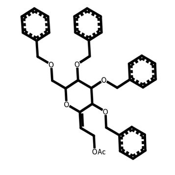 CC(=O)OC/C=C1/OC(COCc2ccccc2)C(OCc2ccccc2)C(OCc2ccccc2)C1OCc1ccccc1